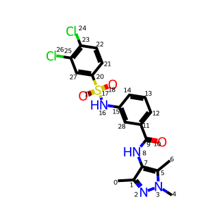 Cc1nn(C)c(C)c1NC(=O)c1cccc(NS(=O)(=O)c2ccc(Cl)c(Cl)c2)c1